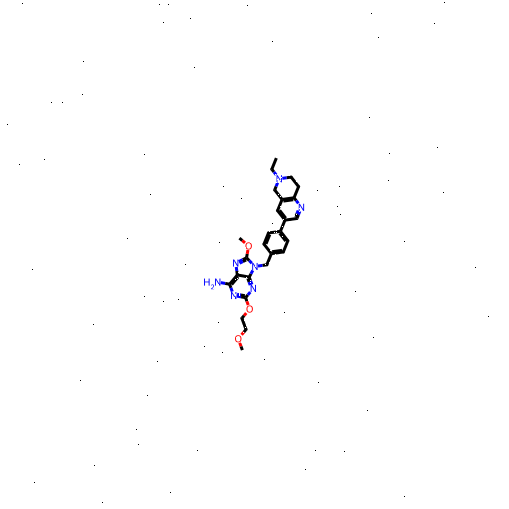 CCN1CCc2ncc(-c3ccc(Cn4c(OC)nc5c(N)nc(OCCOC)nc54)cc3)cc2C1